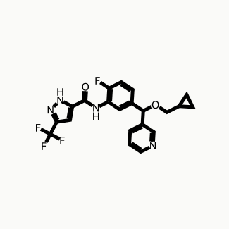 O=C(Nc1cc(C(OCC2CC2)c2cccnc2)ccc1F)c1cc(C(F)(F)F)n[nH]1